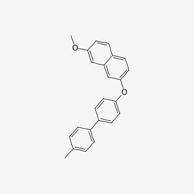 COc1ccc2ccc(Oc3ccc(-c4ccc(C)cc4)cc3)cc2c1